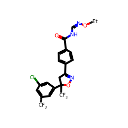 CCO/N=C\NC(=O)c1ccc(C2=NOC(c3cc(Cl)cc(C(F)(F)F)c3)(C(F)(F)F)C2)cc1